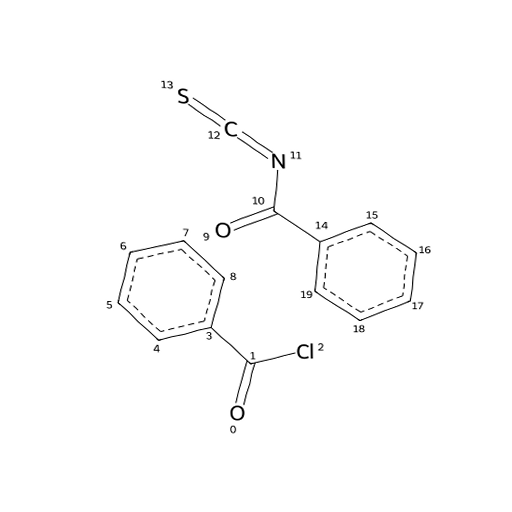 O=C(Cl)c1ccccc1.O=C(N=C=S)c1ccccc1